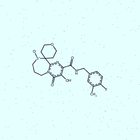 Cc1cc(CNC(=O)c2nc3n(c(=O)c2O)CCC[S+]([O-])C32CCOCC2)ccc1F